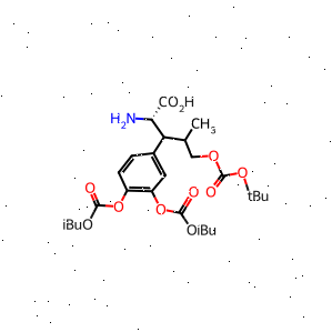 CC(C)COC(=O)Oc1ccc(C(C(C)COC(=O)OC(C)(C)C)[C@H](N)C(=O)O)cc1OC(=O)OCC(C)C